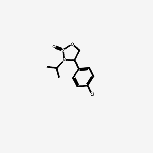 CC(C)N1C(c2ccc(Cl)cc2)COS1=O